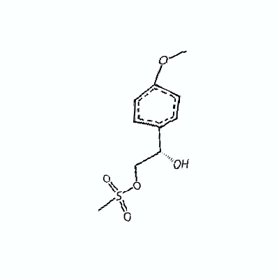 COc1ccc([C@H](O)COS(C)(=O)=O)cc1